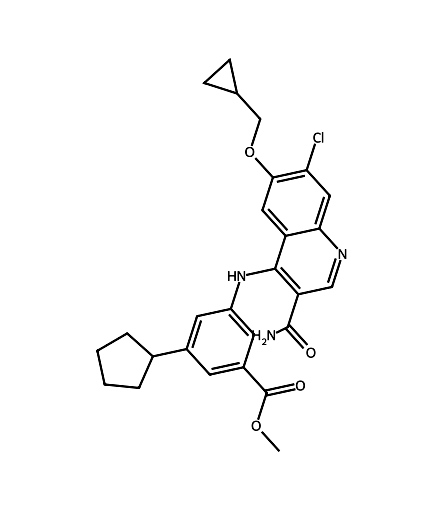 COC(=O)c1cc(Nc2c(C(N)=O)cnc3cc(Cl)c(OCC4CC4)cc23)cc(C2CCCC2)c1